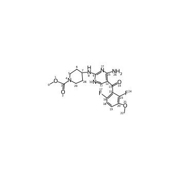 COC(=O)N1CCC(Nc2ncc(C(=O)c3c(F)ccc(OC)c3F)c(N)n2)CC1